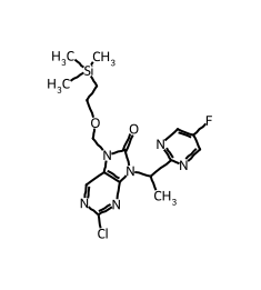 CC(c1ncc(F)cn1)n1c(=O)n(COCC[Si](C)(C)C)c2cnc(Cl)nc21